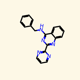 c1ccc(CNc2nc(-c3ncccn3)nc3ccccc23)cc1